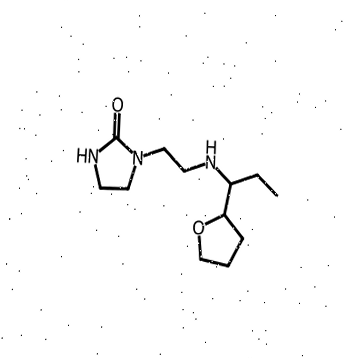 CCC(NCCN1CCNC1=O)C1CCCO1